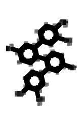 Oc1ccc(-c2cc(Br)ccc2-c2ccc(Br)cc2-c2ccc(O)c(O)c2)cc1O